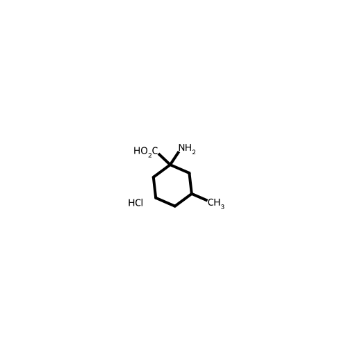 CC1CCCC(N)(C(=O)O)C1.Cl